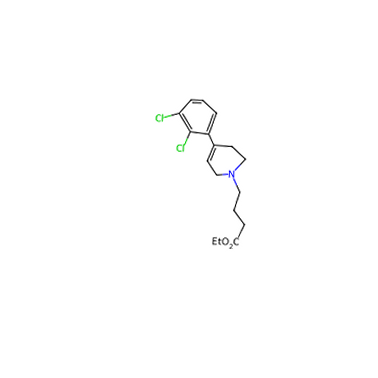 CCOC(=O)CCCN1CC=C(c2cccc(Cl)c2Cl)CC1